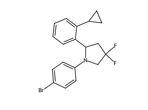 FC1(F)CC(c2ccccc2C2CC2)N(c2ccc(Br)cc2)C1